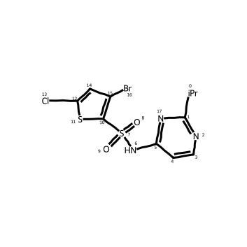 CC(C)c1nccc(NS(=O)(=O)c2sc(Cl)cc2Br)n1